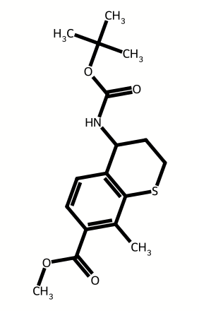 COC(=O)c1ccc2c(c1C)SCCC2NC(=O)OC(C)(C)C